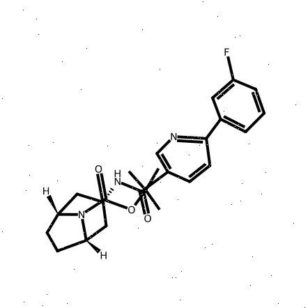 CC(C)(C)OC(=O)N1[C@@H]2CC[C@H]1C[C@@H](NC(=O)c1ccc(-c3cccc(F)c3)nc1)C2